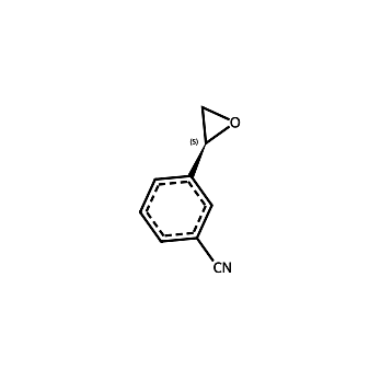 N#Cc1cccc([C@H]2CO2)c1